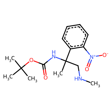 CNCC(C)(NC(=O)OC(C)(C)C)c1ccccc1[N+](=O)[O-]